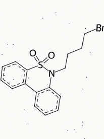 O=S1(=O)c2ccccc2-c2ccccc2N1CCCCBr